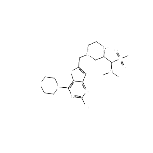 CN(C)C(C1CN(Cc2cc3nc(Cl)nc(N4CCOCC4)c3s2)CCN1)S(C)(=O)=O